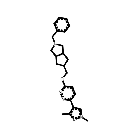 Cc1nn(C)cc1-c1ccc(OCC2CC3CN(Cc4ccccc4)CC3C2)nn1